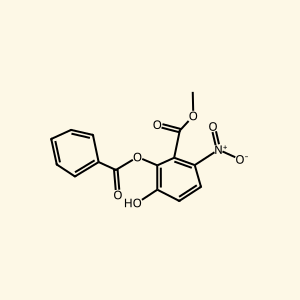 COC(=O)c1c([N+](=O)[O-])ccc(O)c1OC(=O)c1ccccc1